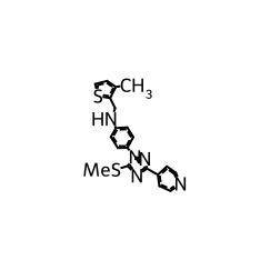 CSc1nc(-c2ccncc2)nn1-c1ccc(NCc2sccc2C)cc1